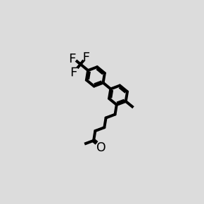 CC(=O)CCCCc1cc(-c2ccc(C(F)(F)F)cc2)ccc1C